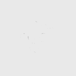 O=C(OC1(c2ccccc2)CCNCC1)c1cc(Br)cc(Br)c1